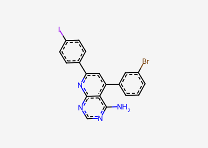 Nc1ncnc2nc(-c3ccc(I)cc3)cc(-c3cccc(Br)c3)c12